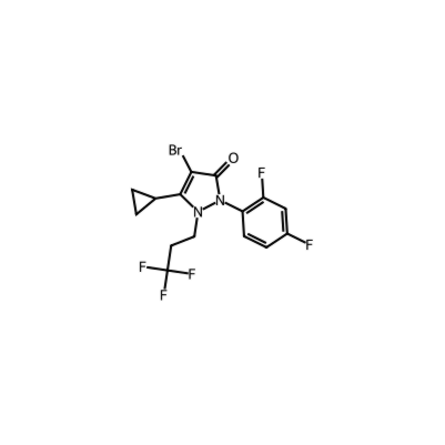 O=c1c(Br)c(C2CC2)n(CCC(F)(F)F)n1-c1ccc(F)cc1F